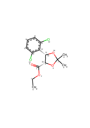 CCOC(=O)[C@H]1OC(C)(C)O[C@H]1c1c(Cl)cccc1Cl